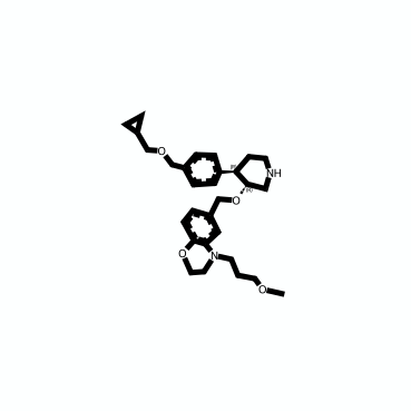 COCCCN1CCOc2ccc(CO[C@H]3CNCC[C@@H]3c3ccc(COCC4CC4)cc3)cc21